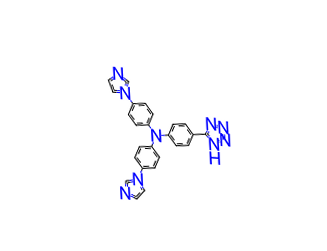 c1cn(-c2ccc(N(c3ccc(-c4nnn[nH]4)cc3)c3ccc(-n4ccnc4)cc3)cc2)cn1